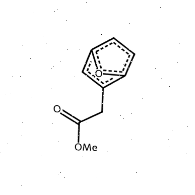 COC(=O)Cc1cc2ccc1o2